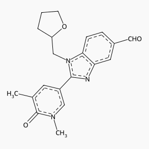 Cc1cc(-c2nc3cc(C=O)ccc3n2CC2CCCO2)cn(C)c1=O